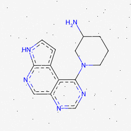 NC1CCCN(c2ncnc3cnc4[nH]ccc4c23)C1